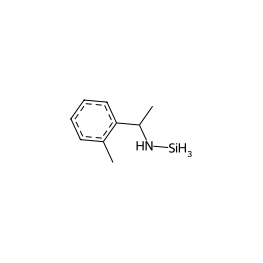 Cc1ccccc1C(C)N[SiH3]